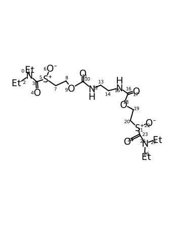 CCN(CC)C(=O)[S+]([O-])CCOC(=O)NCCNC(=O)OCC[S+]([O-])C(=O)N(CC)CC